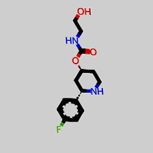 O=C(NCCO)O[C@@H]1CCN[C@H](c2ccc(F)cc2)C1